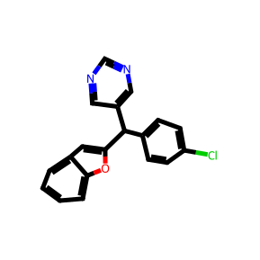 Clc1ccc(C(c2cncnc2)c2cc3ccccc3o2)cc1